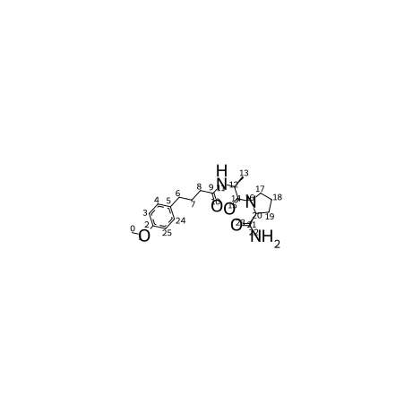 COc1ccc(CCCC(=O)N[C@@H](C)C(=O)N2CCC[C@H]2C(N)=O)cc1